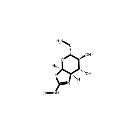 CCNC1=N[C@@H]2[C@@H](O)[C@H](O)[C@@H](CN)O[C@@H]2S1